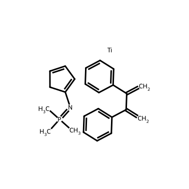 C=C(C(=C)c1ccccc1)c1ccccc1.CP(C)(C)=NC1=CC=CC1.[Ti]